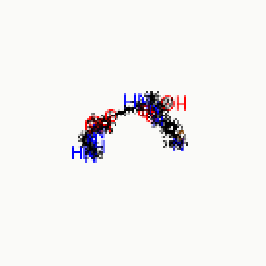 COc1cc(OCCCCCCC(=O)N[C@H](C(=O)N2C[C@H](O)C[C@H]2C(=O)N(C)Cc2ccc(-c3scnc3C)cc2)C(C)(C)C)ccc1NC(O)c1cccc(-c2ccn[nH]2)n1